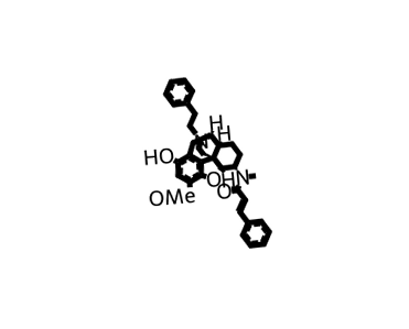 COc1cc(O)c2c3c1O[C@H]1[C@@H](N(C)C(=O)C=Cc4ccccc4)CC[C@H]4[C@@H](C2)N(CCc2ccccc2)CC[C@@]341